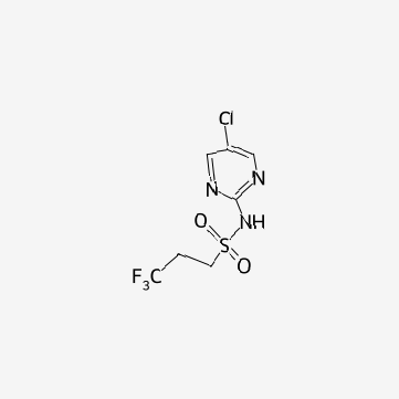 O=S(=O)(CCC(F)(F)F)Nc1ncc(Cl)cn1